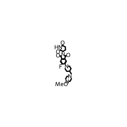 CON1CCN(CC2CCN(c3cc4c(cc3F)C(=O)N(C3CCC(=O)NC3=O)C4=O)CC2)CC1